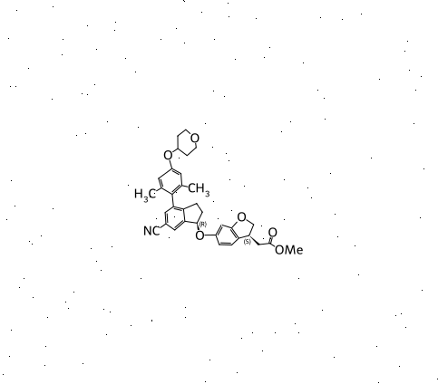 COC(=O)C[C@@H]1COc2cc(O[C@@H]3CCc4c(-c5c(C)cc(OC6CCOCC6)cc5C)cc(C#N)cc43)ccc21